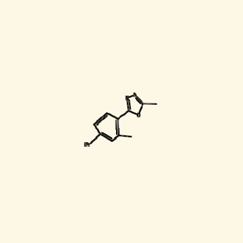 Cc1nnc(-c2ccc(C(C)C)cc2C)o1